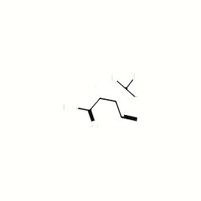 C=C[C@H]([C@@H](C)C(=O)O)C(F)(F)F